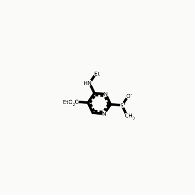 CCNc1nc([S+](C)[O-])ncc1C(=O)OCC